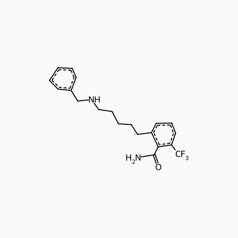 NC(=O)c1c([CH]CCCCNCc2ccccc2)cccc1C(F)(F)F